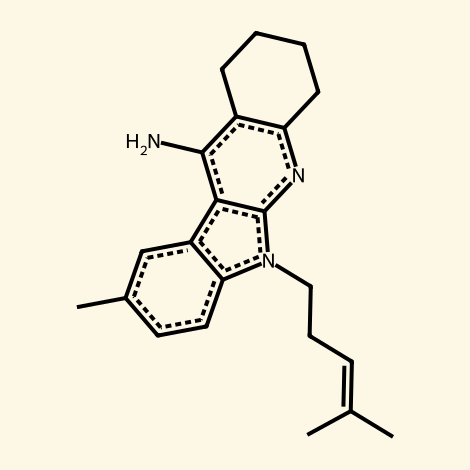 CC(C)=CCCn1c2ccc(C)cc2c2c(N)c3c(nc21)CCCC3